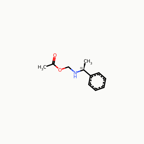 CC(=O)OCN[C@@H](C)c1ccccc1